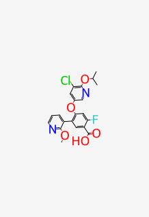 COc1ncccc1-c1cc(C(=O)O)c(F)cc1Oc1cnc(OC(C)C)c(Cl)c1